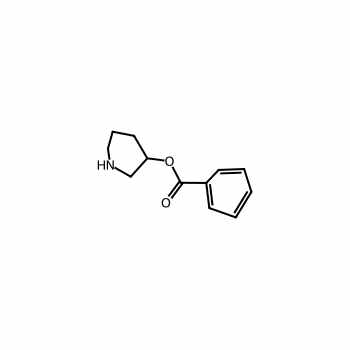 O=C(OC1CCCNC1)c1ccccc1